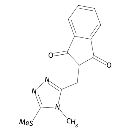 CSc1nnc(CC2C(=O)c3ccccc3C2=O)n1C